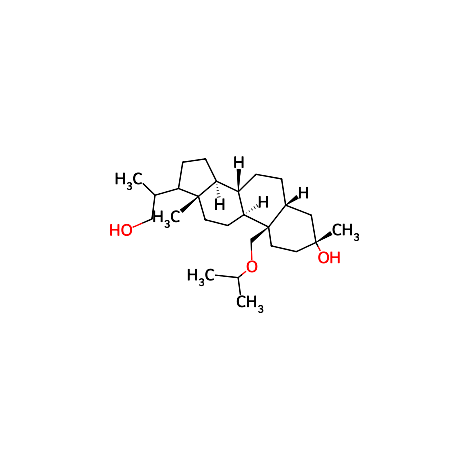 CC(C)OC[C@]12CC[C@@](C)(O)C[C@H]1CC[C@@H]1[C@@H]2CC[C@]2(C)C(C(C)CO)CC[C@@H]12